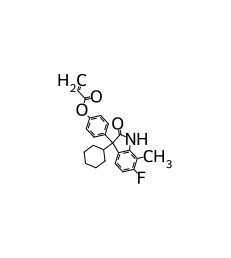 C=CC(=O)Oc1ccc(C2(C3CCCCC3)C(=O)Nc3c2ccc(F)c3C)cc1